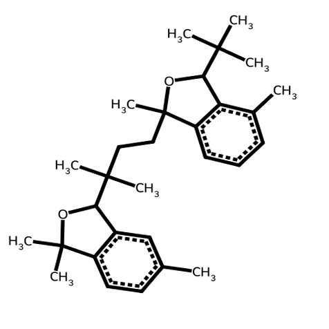 Cc1ccc2c(c1)C(C(C)(C)CCC1(C)OC(C(C)(C)C)c3c(C)cccc31)OC2(C)C